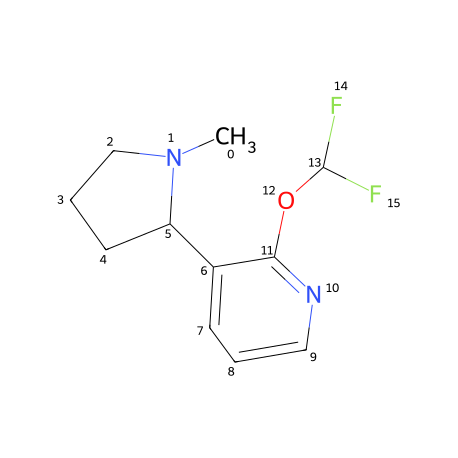 CN1CCCC1c1cccnc1OC(F)F